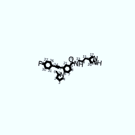 Cc1cccn1-c1ccc(C(=O)NCCCc2cn[nH]c2)cc1C#Cc1ccc(F)cc1